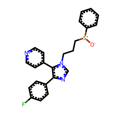 [O-][S+](CCCn1cnc(-c2ccc(F)cc2)c1-c1ccncc1)c1ccccc1